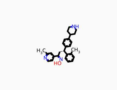 Cc1cc(/C(C[C@H](c2ccc(C3CCNCC3)cc2)c2ccccc2C)=N\O)ccn1